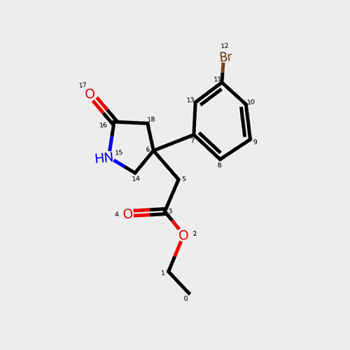 CCOC(=O)CC1(c2cccc(Br)c2)CNC(=O)C1